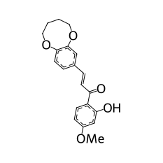 COc1ccc(C(=O)/C=C/c2ccc3c(c2)OCCCCO3)c(O)c1